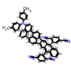 Cc1ccc(N(c2ccc(C)cc2)c2ccc3c4ccc5c6c(ccc(c7cccc2c73)c64)-c2cc3c(-c4cc(C#N)ccc4C#N)c4ccccc4c(-c4cc(C#N)ccc4C#N)c3cc2-5)cc1